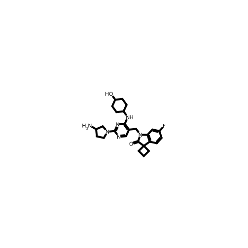 NC1CCN(c2ncc(CN3C(=O)C4(CCC4)c4ccc(F)cc43)c(NC3CCC(O)CC3)n2)C1